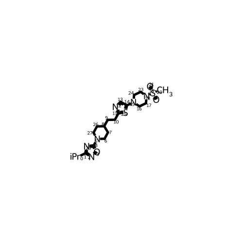 CC(C)c1noc(N2CCC(CCc3ncc(N4CCN(S(C)(=O)=O)CC4)s3)CC2)n1